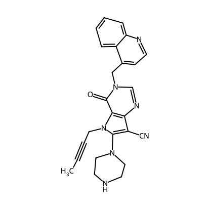 CC#CCn1c(N2CCNCC2)c(C#N)c2ncn(Cc3ccnc4ccccc34)c(=O)c21